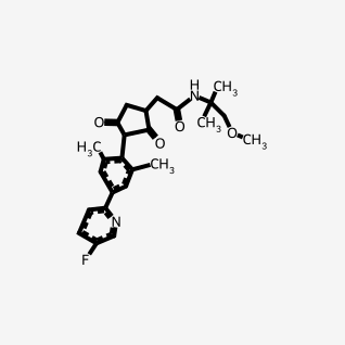 COCC(C)(C)NC(=O)CC1CC(=O)C(c2c(C)cc(-c3ccc(F)cn3)cc2C)C1=O